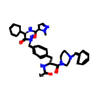 CCC(=O)N[C@H](Cc1ccc(CNC(=O)[C@@H](NC(=O)c2ccnn2C)C2CCCCC2)cc1)C(=O)N1CCN(Cc2ccccc2)CC1